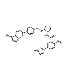 CC(C)n1ccc2cc(-c3ccc(CO[C@H]4CCC[C@@H]4NC(=O)c4cc(-c5cnn(C)c5)cnc4N)cc3)ccc21